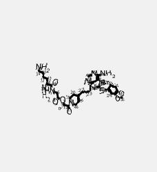 C[C@H](OC(=O)CNC(=O)[C@@H](N)CCCCN)C(=O)N1CCC(CCn2c(Sc3cc4c(cc3Br)OCO4)nc3c(N)ncnc32)CC1